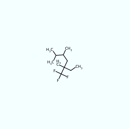 CCC(C)(CC(C)C(C)C)C(F)(F)F